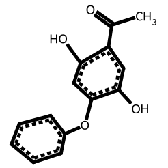 CC(=O)c1cc(O)c(Oc2ccccc2)cc1O